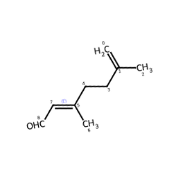 C=C(C)CC/C(C)=C/C=O